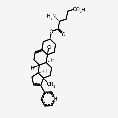 C[C@]12CC[C@H](OC(=O)[C@H](N)CCC(=O)O)CC1=CC[C@@H]1[C@@H]2CC[C@]2(C)C(c3cccnc3)=CC[C@@H]12